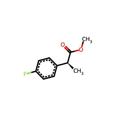 COC(=O)[C@@H](C)c1ccc(F)cc1